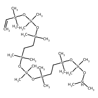 C=C[Si](C)(C)O[Si](C)(C)O[Si](C)(C)CC[Si](C)(C)O[Si](C)(C)O[Si](C)(C)CC[Si](C)(C)O[Si](C)(C)O[SiH](C)C